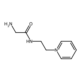 NCC(=O)NCC[n+]1ccccc1